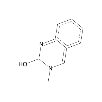 CN1C=c2ccccc2=NC1O